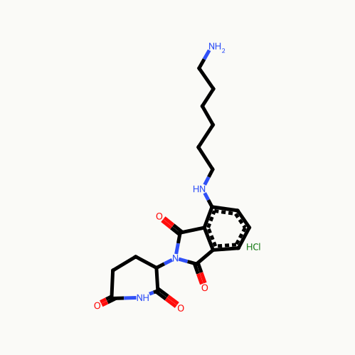 Cl.NCCCCCCNc1cccc2c1C(=O)N(C1CCC(=O)NC1=O)C2=O